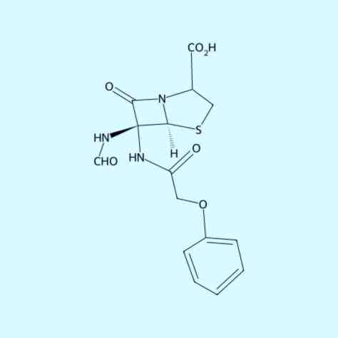 O=CN[C@@]1(NC(=O)COc2ccccc2)C(=O)N2C(C(=O)O)CS[C@H]21